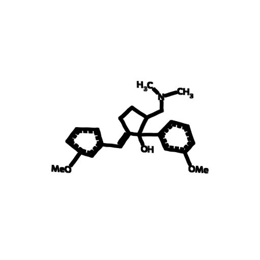 COc1cccc(/C=C2\CCC(CN(C)C)C2(O)c2cccc(OC)c2)c1